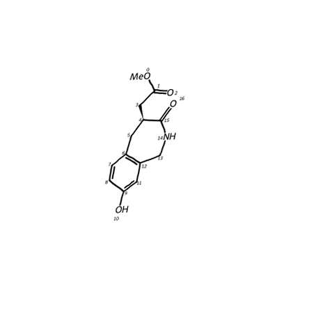 COC(=O)C[C@@H]1Cc2ccc(O)cc2CNC1=O